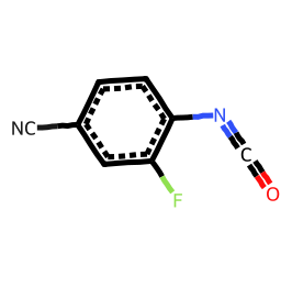 N#Cc1ccc(N=C=O)c(F)c1